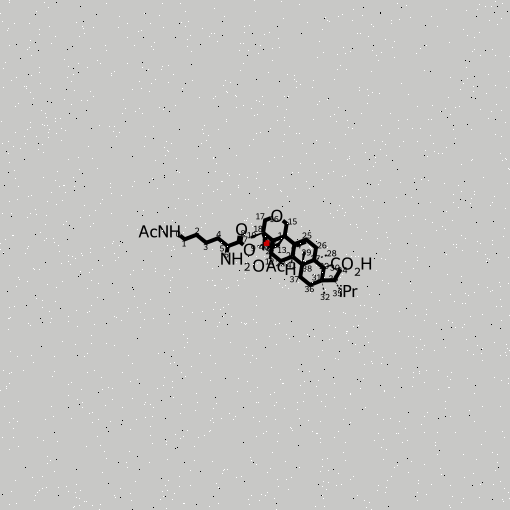 CC(=O)NCCCCC(N)C(=O)O[C@H]1[C@H](OC(C)=O)C[C@]23COC[C@]1(C)[C@@H]2CC[C@H]1C3=CC[C@@]2(C)[C@H](C(=O)O)[C@@](C)([C@H](C)C(C)C)CC[C@]12C